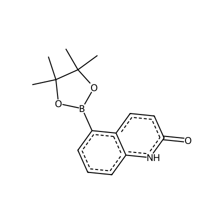 CC1(C)OB(c2cccc3[nH]c(=O)ccc23)OC1(C)C